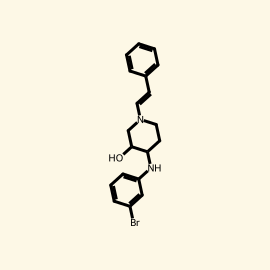 OC1CN(C=Cc2ccccc2)CCC1Nc1cccc(Br)c1